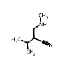 CNCC(C#N)C(C)C